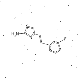 Nc1nc(/C=C/c2cccc(F)c2)cs1